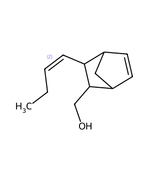 CC/C=C\C1C2C=CC(C2)C1CO